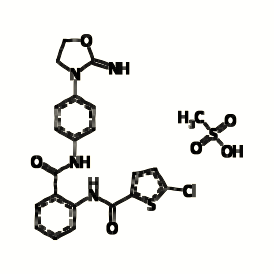 CS(=O)(=O)O.N=C1OCCN1c1ccc(NC(=O)c2ccccc2NC(=O)c2ccc(Cl)s2)cc1